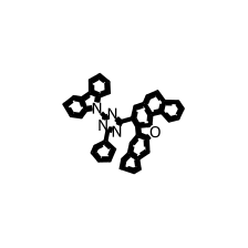 c1ccc(-c2nc(-c3cc4ccc5ccccc5c4c4oc5cc6ccccc6cc5c34)nc(-n3c4ccccc4c4ccccc43)n2)cc1